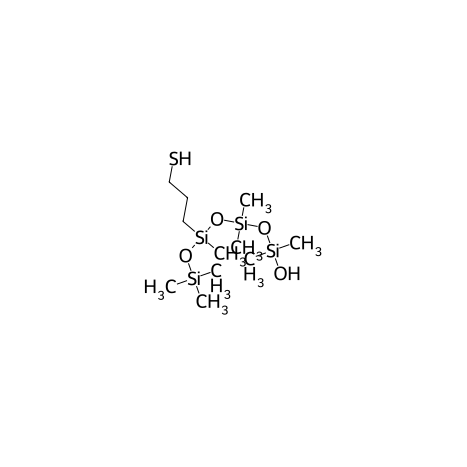 C[Si](C)(C)O[Si](C)(CCCS)O[Si](C)(C)O[Si](C)(C)O